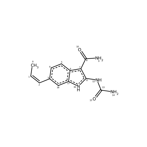 C/C=C\c1ccc2c(C(N)=O)c(NC(N)=O)[nH]c2c1